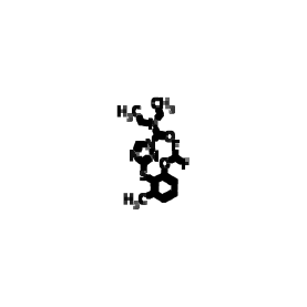 CCN(CC)C(=O)n1cnc(Sc2c(C)cccc2OC(F)F)n1